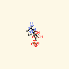 C[C@@]1(O)[C@H](O)[C@@H](COP(=O)(O)O)O[C@@]1(C#N)c1cnc2c(N)ncnn12